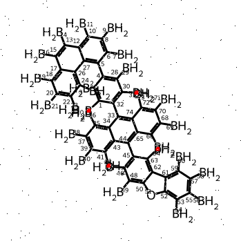 Bc1c(B)c(-c2c(B)c(B)c(B)c3c(B)c(B)c4c(B)c(B)c(B)c(B)c4c23)c(B)c(B)c1-c1c2c(B)c(B)c(B)c(B)c2c(-c2c(B)c(B)c3oc4c(B)c(B)c(B)c(B)c4c3c2B)c2c(B)c(B)c(B)c(B)c12